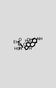 CCC(=O)OC/C(=N\O)[C@H]1CCC2[C@@H]3CCC4=CC(=N)C=C[C@]4(C)C3[C@@H](O)C[C@@]21C